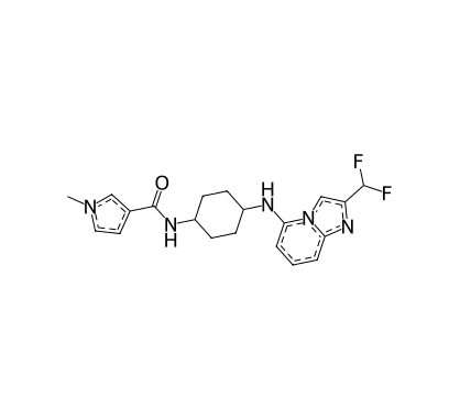 Cn1ccc(C(=O)NC2CCC(Nc3cccc4nc(C(F)F)cn34)CC2)c1